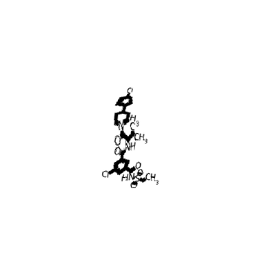 CCS(=O)(=O)NC(=O)c1cc(Cl)cc(C(=O)N[C@@H](C(=O)N2CCC(c3ccc(Cl)cc3)CC2)C(C)C)c1